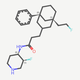 O=C(CCC1C[C@@]2(CCF)CCC[C@@](c3ccccc3)(C1)C2)N[C@@H]1CCNC[C@@H]1F